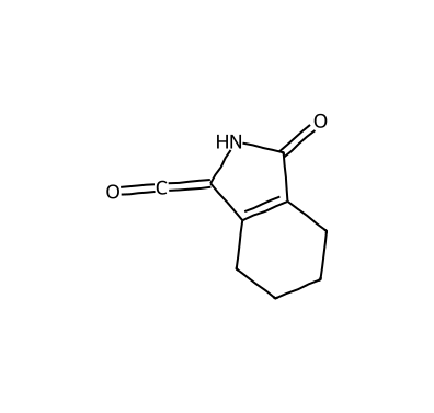 O=C=C1NC(=O)C2=C1CCCC2